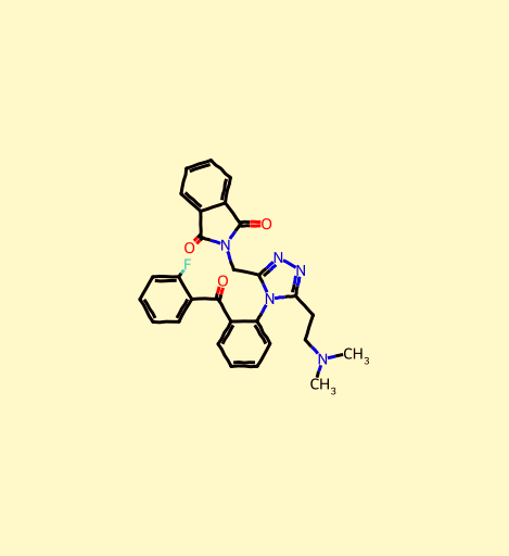 CN(C)CCc1nnc(CN2C(=O)c3ccccc3C2=O)n1-c1ccccc1C(=O)c1ccccc1F